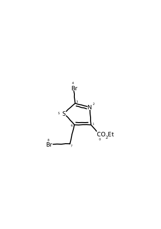 CCOC(=O)c1nc(Br)sc1CBr